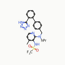 CCCN(Cc1ccc(-c2ccccc2-c2nnn[nH]2)cc1)c1nccc(C)c1NS(=O)(=O)C(F)(F)F